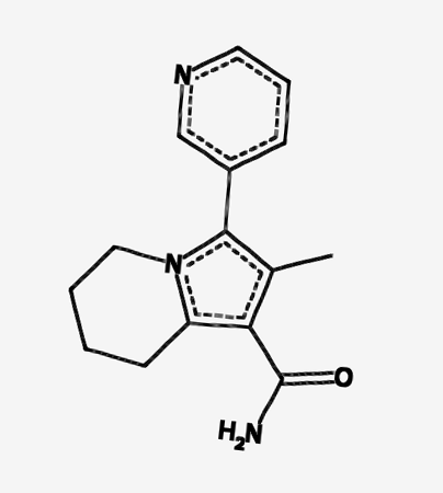 Cc1c(C(N)=O)c2n(c1-c1cccnc1)CCCC2